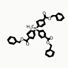 CS(c1ccc(C(=O)OCc2ccccc2)cc1)(c1ccc(C(=O)OCc2ccccc2)cc1)c1ccc(C(=O)OCc2ccccc2)cc1